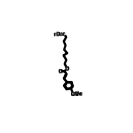 CCCCCCCCCCCCCCCCCCOC(=O)/C=C/c1ccc(OC)cc1